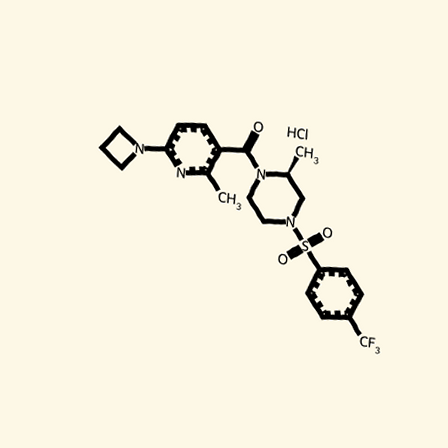 Cc1nc(N2CCC2)ccc1C(=O)N1CCN(S(=O)(=O)c2ccc(C(F)(F)F)cc2)C[C@@H]1C.Cl